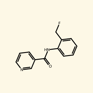 O=C(Nc1ccccc1CF)c1cccnc1